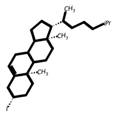 CC(C)CCCC(C)[C@H]1CCC2C3CC=C4C[C@@H](I)CC[C@]4(C)C3CC[C@@]21C